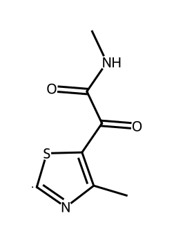 CNC(=O)C(=O)c1s[c]nc1C